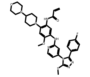 C=CC(=O)Nc1cc(Nc2cc(-n3c(SC)nnc3-c3ccc(F)cc3)ccn2)c(OC)cc1N1CCC(N2CCOCC2)CC1